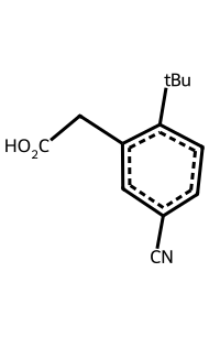 CC(C)(C)c1ccc(C#N)cc1CC(=O)O